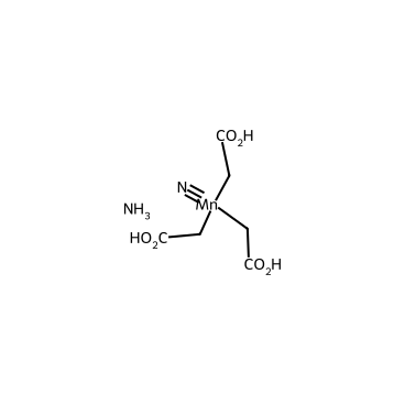 N.[N]#[Mn]([CH2]C(=O)O)([CH2]C(=O)O)[CH2]C(=O)O